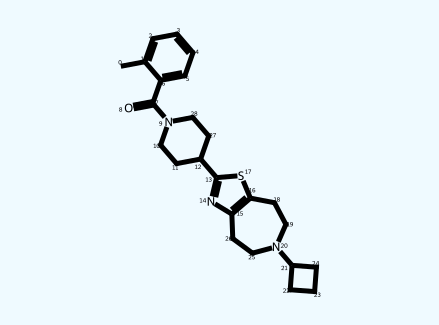 Cc1ccccc1C(=O)N1CCC(c2nc3c(s2)CCN(C2CCC2)CC3)CC1